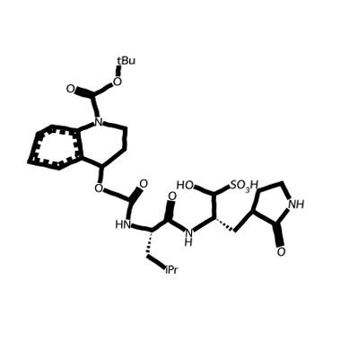 CC(C)C[C@H](NC(=O)OC1CCN(C(=O)OC(C)(C)C)c2ccccc21)C(=O)N[C@@H](CC1CCNC1=O)C(O)S(=O)(=O)O